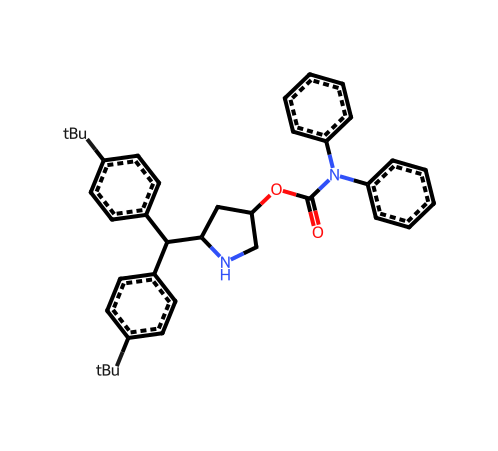 CC(C)(C)c1ccc(C(c2ccc(C(C)(C)C)cc2)C2CC(OC(=O)N(c3ccccc3)c3ccccc3)CN2)cc1